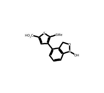 CSc1sc(C(=O)O)cc1-c1cccc2c1COB2O